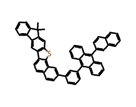 CC1(C)c2ccccc2-c2cc3c(cc21)sc1c2cc(-c4cccc(-c5c6ccccc6c(-c6ccc7ccccc7c6)c6ccccc56)c4)ccc2ccc31